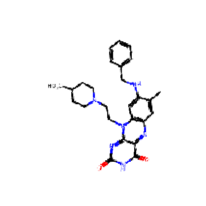 Cc1cc2nc3c(=O)[nH]c(=O)nc-3n(CCN3CCC(C(=O)O)CC3)c2cc1NCc1ccccc1